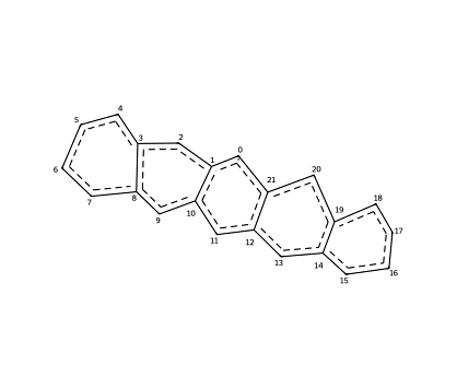 [c]1c2cc3ccccc3cc2cc2cc3ccccc3cc12